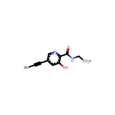 CC(C)(C)C#Cc1cnc(C(=O)NCC(=O)O)c(O)c1